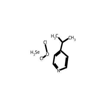 CC(C)c1ccncc1.ClOCl.[SeH2]